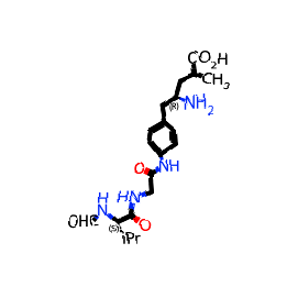 CC(C[C@@H](N)Cc1ccc(NC(=O)CNC(=O)[C@@H](NC=O)C(C)C)cc1)C(=O)O